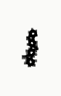 c1ccc2c(c1)N=c1cc3c(cc1-2)=Nc1cc2c(cc1-3)[nH]c1ccccc12